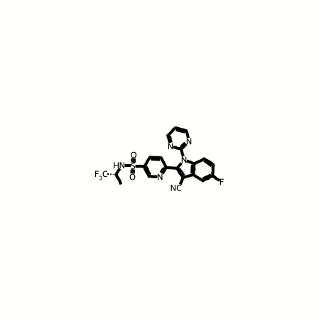 C[C@@H](NS(=O)(=O)c1ccc(-c2c(C#N)c3cc(F)ccc3n2-c2ncccn2)nc1)C(F)(F)F